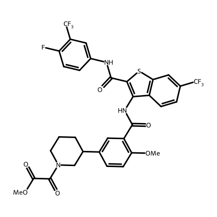 COC(=O)C(=O)N1CCCC(c2ccc(OC)c(C(=O)Nc3c(C(=O)Nc4ccc(F)c(C(F)(F)F)c4)sc4cc(C(F)(F)F)ccc34)c2)C1